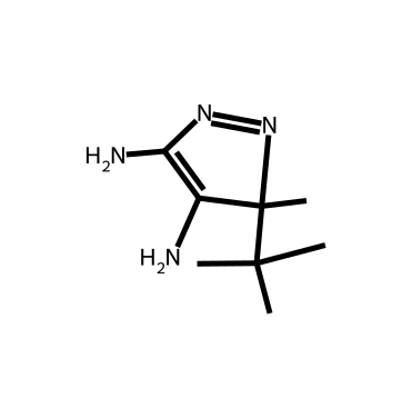 CC(C)(C)C1(C)N=NC(N)=C1N